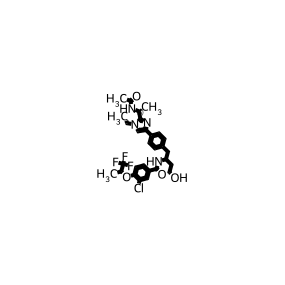 CCn1cc(-c2ccc(CC(CCO)NC(=O)c3ccc(OC(C)C(F)(F)F)c(Cl)c3)cc2)nc1[C@H](C)NC(C)=O